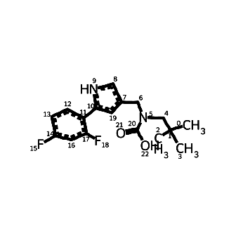 CC(C)(C)CN(Cc1c[nH]c(-c2ccc(F)cc2F)c1)C(=O)O